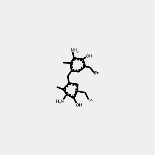 Cc1c(Cc2cc(CC(C)C)c(O)c(N)c2C)cc(CC(C)C)c(O)c1N